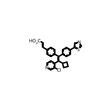 O=C(O)C=Cc1ccc(C(=C(c2ccncc2Cl)C2CCC2)c2ccc(-c3cncs3)cc2)cc1